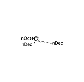 CCCCCCCCCCCCCCCn1cc[n+](CCCCCCCC)c1CCCCCCCCCCC